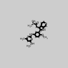 CNc1cc(C)nc(Nc2ccc(OC)c(-c3[nH]c4cnccc4c3CC(=O)N(C)C)c2)n1